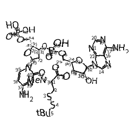 CN[C@@H](CSSC(C)(C)C)C(=O)O[C@H]1[C@@H](O)[C@H](n2cnc3c(N)ncnc32)O[C@@H]1CO[P@@](=O)(O)O[C@H]1C[C@H](n2ccc(N)nc2=O)O[C@@H]1COP(=O)(O)O